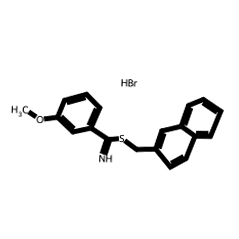 Br.COc1cccc(C(=N)SCc2ccc3ccccc3c2)c1